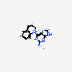 Nc1nc(N2CCCc3ccccc32)c2nc[nH]c2n1